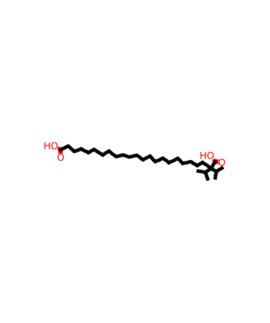 CC(C)C(CCCCCCCCCCCCCCCCCCCCCC(=O)O)(C(=O)O)C(C)C